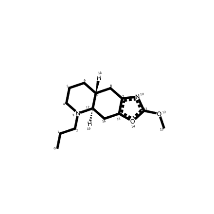 CCCN1CCC[C@@H]2Cc3nc(OC)oc3C[C@H]21